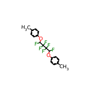 Cc1ccc(OC(F)C(F)(F)C(F)(F)C(F)Oc2ccc(C)cc2)cc1